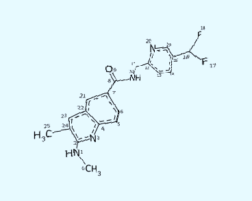 CNc1nc2ccc(C(=O)NCc3ccc(C(F)F)cn3)cc2cc1C